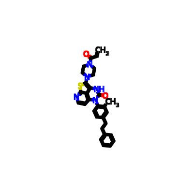 C=CC(=O)N1CCN(c2sc3nccc4c3c2NC(=O)N4c2ccc(CCc3ccccc3)cc2C)CC1